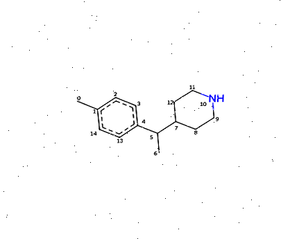 Cc1ccc(C(C)C2CCNCC2)cc1